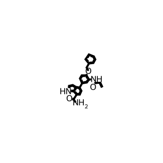 C=CC(=O)Nc1cc(-c2ccc(C(N)=O)c3[nH]ccc23)ccc1OCc1ccccc1